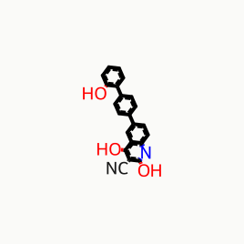 N#Cc1c(O)nc2ccc(-c3ccc(-c4ccccc4O)cc3)cc2c1O